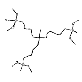 CO[Si](C)(CCCCC(C)(CCCC[Si](C)(OC)OC)CCCC[Si](C)(OC)OC)OC